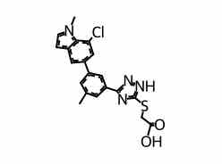 Cc1cc(-c2cc(Cl)c3c(ccn3C)c2)cc(-c2n[nH]c(SCC(=O)O)n2)c1